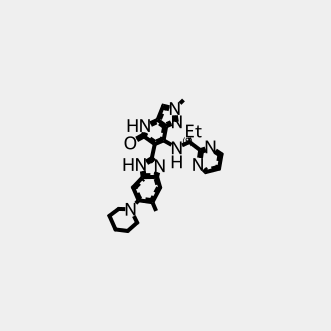 CC[C@H](Nc1c(-c2nc3cc(C)c(N4CCCCC4)cc3[nH]2)c(=O)[nH]c2cn(C)nc12)c1ncccn1